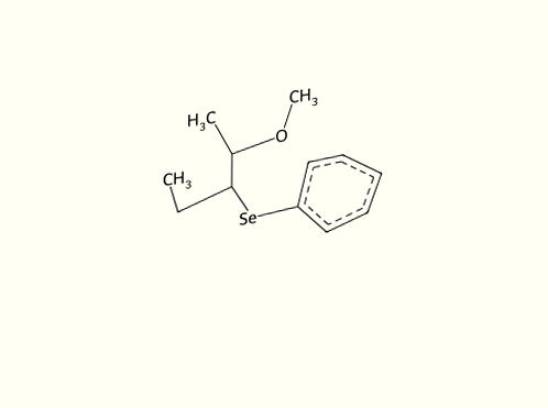 CCC([Se]c1ccccc1)C(C)OC